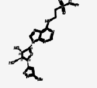 CC(C)NS(=O)(=O)CCNc1ncnc2c1ncn2[C@@H]1O[C@H](c2cc(C(C)(C)C)no2)[C@@H](O)[C@@H]1O